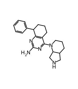 Nc1nc2c(c(N3CCCC4CNCC43)n1)CCCC2c1ccccc1